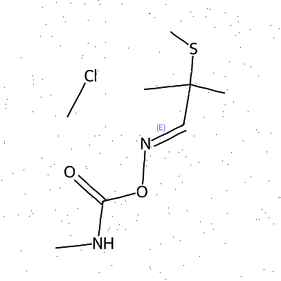 CCl.CNC(=O)O/N=C/C(C)(C)SC